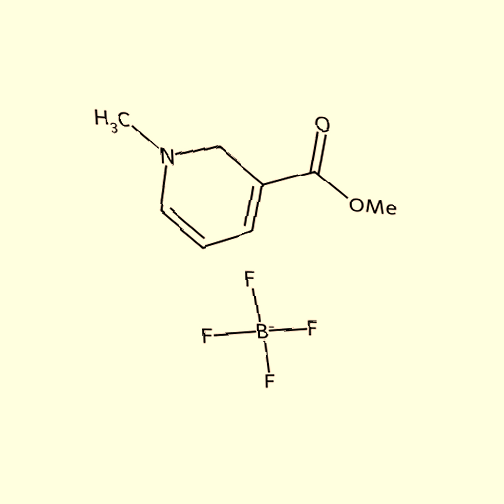 COC(=O)C1=CC=CN(C)C1.F[B-](F)(F)F